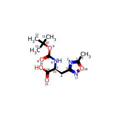 Cc1nc(C[C@H](NC(=O)OC(C)(C)C)C(=O)O)no1